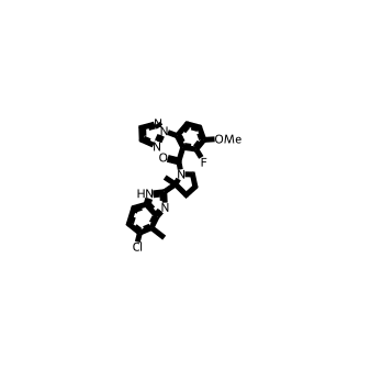 COc1ccc(-n2nccn2)c(C(=O)N2CCCC2(C)c2nc3c(C)c(Cl)ccc3[nH]2)c1F